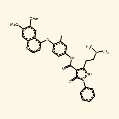 COc1cc2nccc(Oc3ccc(NC(=O)c4c(CCN(C)C)[nH]n(-c5ccccc5)c4=O)cc3F)c2cc1OC